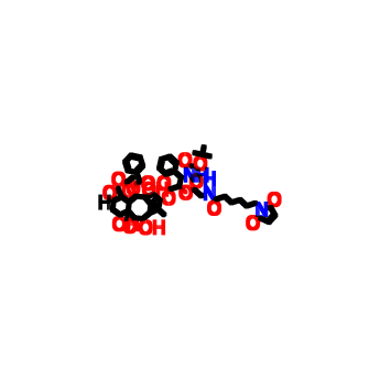 CC(=O)O[C@@]12CO[C@@H]1C[C@H](O)[C@@]1(C)C(=O)C(O)C3=C(C)[C@@H](OC(=O)[C@H](OC(=O)CNC(=O)CCCCCN4C(=O)C=CC4=O)[C@@H](NC(=O)OC(C)(C)C)c4ccccc4)C[C@@](O)([C@@H](OC(=O)c4ccccc4)C12)C3(C)C